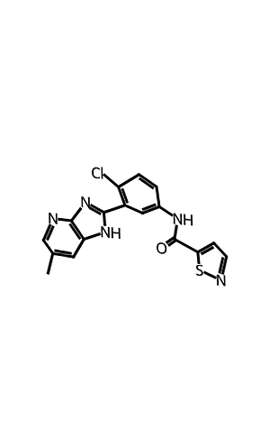 Cc1cnc2nc(-c3cc(NC(=O)c4ccns4)ccc3Cl)[nH]c2c1